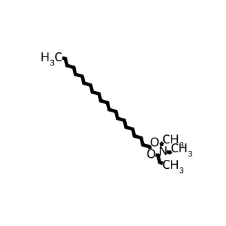 CCCCCCCCCCCCCCCCCCCCCC(=O)OC(CC)N(CC)CC